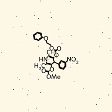 COC(=O)OC1=C(C)NC(C)=C(OC(=O)OCCOc2ccccc2)C1c1cccc([N+](=O)[O-])c1